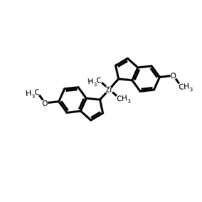 COc1ccc2c(c1)C=C[CH]2[Zr]([CH3])([CH3])[CH]1C=Cc2cc(OC)ccc21